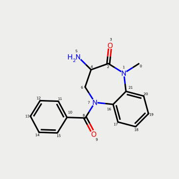 CN1C(=O)C(N)CN(C(=O)c2ccccc2)c2ccccc21